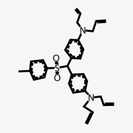 C=CCN(CC=C)c1ccc(C(c2ccc(N(CC=C)CC=C)cc2)S(=O)(=O)c2ccc(C)cc2)cc1